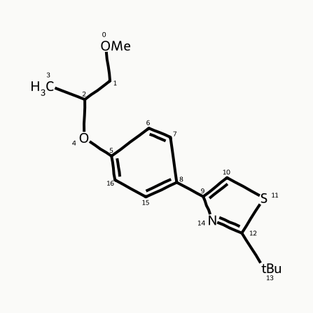 COCC(C)Oc1ccc(-c2csc(C(C)(C)C)n2)cc1